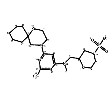 CCS(=O)(=O)N1CCOC(CN(C)c2cc(N3CCOC4(CCCCC4)C3)nc(C(F)(F)F)n2)C1